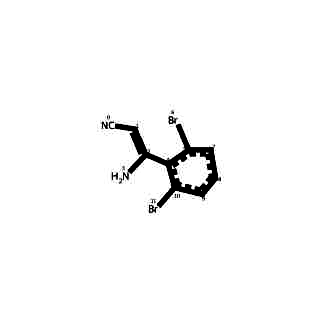 N#CC=C(N)c1c(Br)cccc1Br